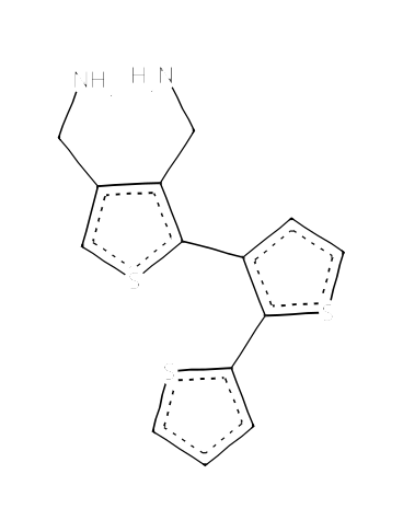 NCc1csc(-c2ccsc2-c2cccs2)c1CN